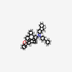 CC1(C)c2ccccc2-c2ccc(N(c3ccc(-c4ccccc4)cc3)c3ccc4c(c3)-c3ccccc3-c3ccccc3C43c4ccccc4-c4cc5c(cc43)oc3ccccc35)cc21